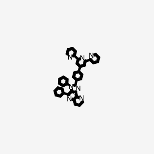 c1ccc(-c2nc3cccnc3c3nc(-c4ccc(-c5cc(-c6ccccn6)nc(-c6ccccn6)c5)cc4)n(-c4ccccc4)c23)cc1